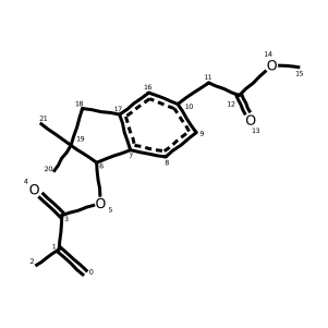 C=C(C)C(=O)OC1c2ccc(CC(=O)OC)cc2CC1(C)C